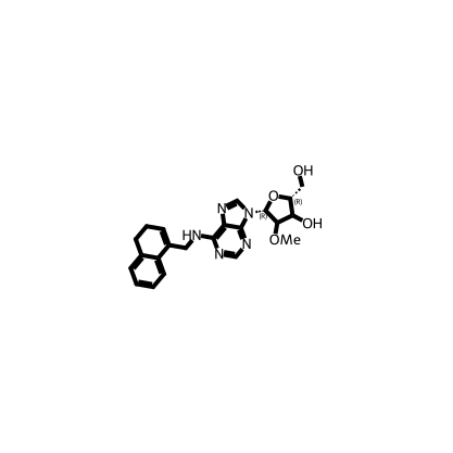 COC1C(O)[C@@H](CO)O[C@H]1n1cnc2c(NCC3=CCCc4ccccc43)ncnc21